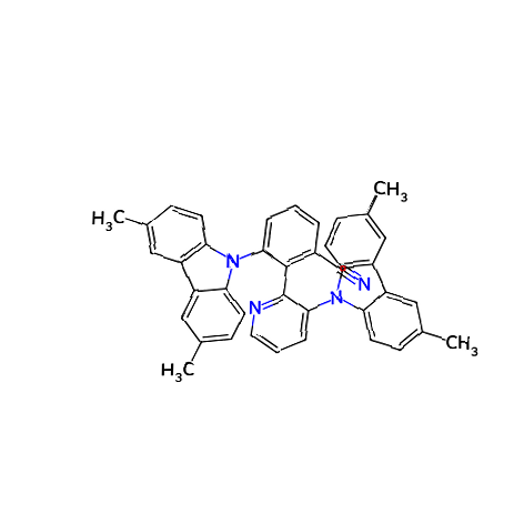 Cc1ccc2c(c1)c1cc(C)ccc1n2-c1cccnc1-c1c(C#N)cccc1-n1c2ccc(C)cc2c2cc(C)ccc21